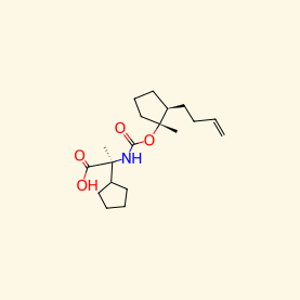 C=CCC[C@@H]1CCC[C@@]1(C)OC(=O)N[C@](C)(C(=O)O)C1CCCC1